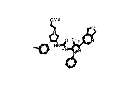 COCCN1C[C@@H](NC(=O)Nc2c(C)c(-c3cnc4c(c3)COC4)nn2-c2ccccc2)[C@H](c2cccc(F)c2)C1